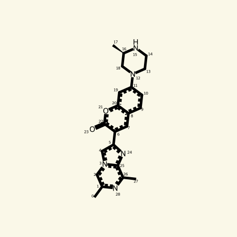 Cc1cn2cc(-c3cc4ccc(N5CCN[C@H](C)C5)cc4oc3=O)nc2c(C)n1